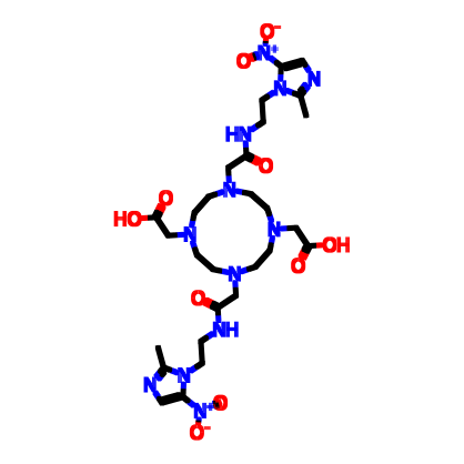 Cc1ncc([N+](=O)[O-])n1CCNC(=O)CN1CCN(CC(=O)O)CCN(CC(=O)NCCn2c([N+](=O)[O-])cnc2C)CCN(CC(=O)O)CC1